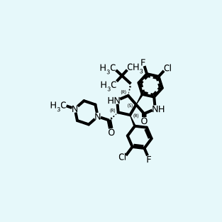 CN1CCN(C(=O)[C@@H]2N[C@H](CC(C)(C)C)[C@]3(C(=O)Nc4cc(Cl)c(F)cc43)[C@H]2C2C=CC(F)=C(Cl)C2)CC1